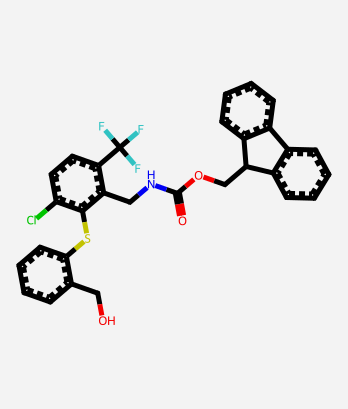 O=C(NCc1c(C(F)(F)F)ccc(Cl)c1Sc1ccccc1CO)OCC1c2ccccc2-c2ccccc21